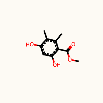 COC(=O)c1c(O)cc(O)c(C)c1C